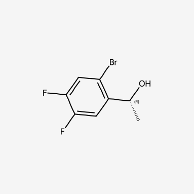 C[C@@H](O)c1cc(F)c(F)cc1Br